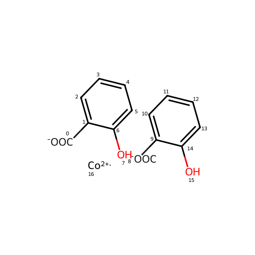 O=C([O-])c1ccccc1O.O=C([O-])c1ccccc1O.[Co+2]